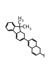 CC1(C)c2ccccc2C2=CC=C(C3=CC4C=CC(I)CC4C=C3)CC21